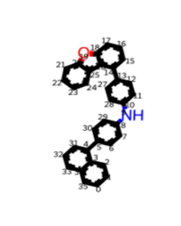 c1ccc2c(-c3ccc(Nc4ccc(-c5cccc6oc7ccccc7c56)cc4)cc3)cccc2c1